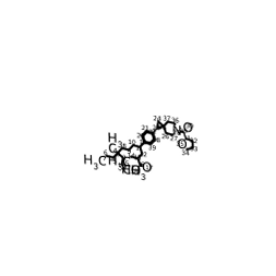 CCCC(C)(CCC)CCCC(CC(CC)C(=O)O)c1ccc([C@H]2CC23CCN(C(=O)[C@H]2CCCO2)CC3)cc1